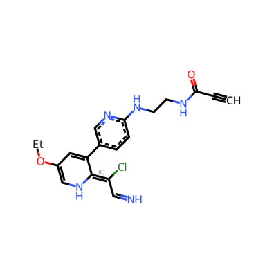 C#CC(=O)NCCNc1ccc(C2=CC(OCC)=CN/C2=C(/Cl)C=N)cn1